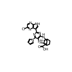 O=C(O)[C@H]1C2CCC(CC2)[C@@H]1Nc1nc(-c2c[nH]c3ncc(Cl)nc23)nc(-n2cccc2)c1F